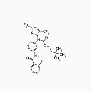 C[Si](C)(C)CCOC(=O)N(c1cccc(NC(=O)c2ccccc2F)c1)n1nc(C(F)(F)F)cc1C(F)(F)F